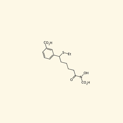 CCSC(CCCCC(=O)N(O)C(=O)O)c1cccc(C(=O)O)c1